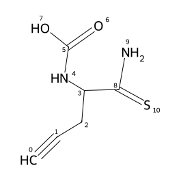 C#CCC(NC(=O)O)C(N)=S